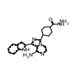 NNC(=O)C1CCC(c2nc(-c3cc4ccccc4[nH]3)c3c(N)nccn23)CC1